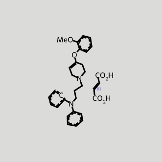 COc1ccccc1OC1=CCN(CCCN(c2ccccc2)c2ccccc2)CC1.O=C(O)/C=C/C(=O)O